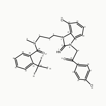 CN(CCCn1c(=N)n(CC(=O)c2ccc(Cl)cc2)c2cccc(Cl)c21)C(=O)c1ccccc1C(F)(F)F